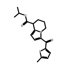 Cc1ccc(C(=O)c2ccc3n2CCCC3C(=O)OC(C)C)s1